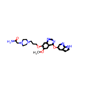 COc1cc2c(Oc3cnc4[nH]ccc4c3)ncnc2cc1OCCCN1CCN(CC(N)=O)CC1